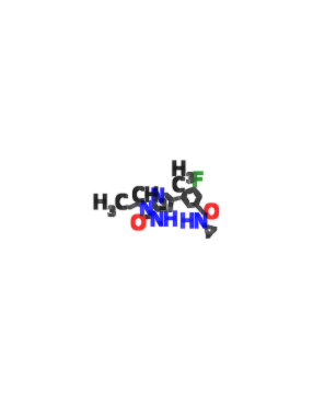 CCC(C)n1c(=O)[nH]c2cc(-c3cc(C(=O)NC4CC4)cc(F)c3C)cnc21